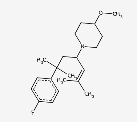 COC1CCN(C(C=C(C)C)CC(C)(C)c2ccc(F)cc2)CC1